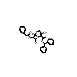 O=C(Cc1ccccc1)NC1C(=O)N2C(C(=O)OC(c3ccccc3)c3ccccc3)=C(O)CS[C@H]12